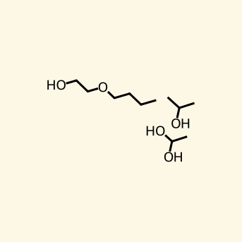 CC(C)O.CC(O)O.CCCCOCCO